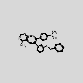 CN(C)c1ccc(-c2nc3ncnc(N)c3cc2-c2cccc(OCc3ccccc3)c2)cc1